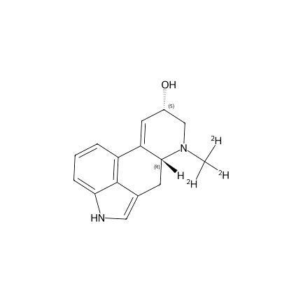 [2H]C([2H])([2H])N1C[C@@H](O)C=C2c3cccc4[nH]cc(c34)C[C@H]21